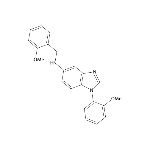 COc1ccccc1CNc1ccc2c(c1)ncn2-c1ccccc1OC